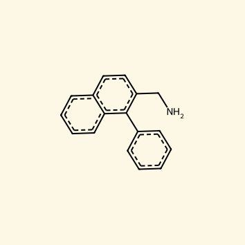 NCc1ccc2ccccc2c1-c1ccccc1